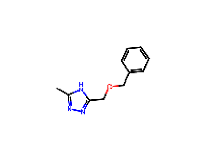 Cc1nnc(COCc2ccccc2)[nH]1